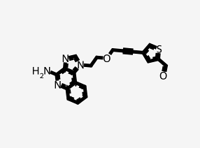 Nc1nc2ccccc2c2c1ncn2CCOCC#Cc1csc(C=O)c1